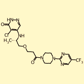 C[C@@H](COCCC(=O)N1CCN(c2ncc(C(F)(F)F)cn2)CC1)Nc1cn[nH]c(=O)c1Cl